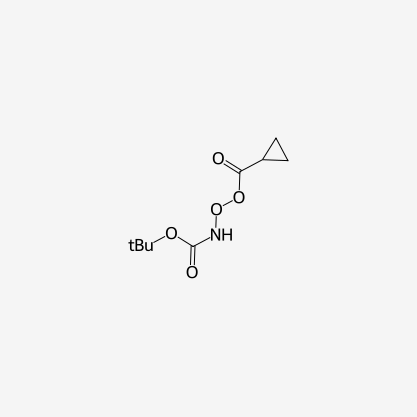 CC(C)(C)OC(=O)NOOC(=O)C1CC1